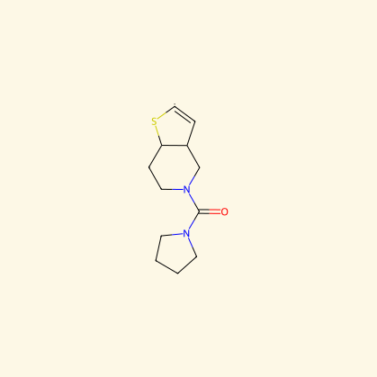 O=C(N1CCCC1)N1CCC2S[C]=CC2C1